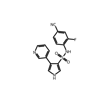 N#Cc1ccc(NS(=O)(=O)c2c[nH]cc2-c2cccnc2)c(F)c1